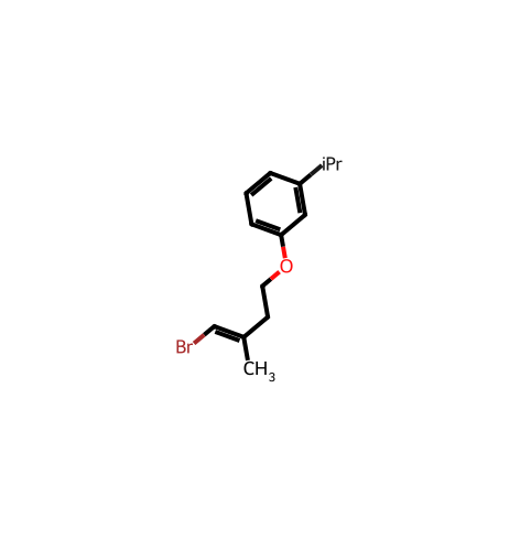 CC(=CBr)CCOc1cccc(C(C)C)c1